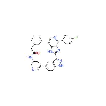 O=C(CC1CCCCC1)Nc1cncc(-c2ccc3[nH]nc(-c4nc5c(-c6ccc(F)cc6)nccc5[nH]4)c3c2)c1